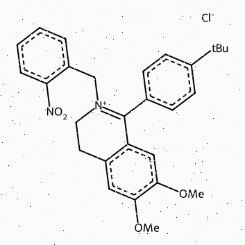 COc1cc2c(cc1OC)C(c1ccc(C(C)(C)C)cc1)=[N+](Cc1ccccc1[N+](=O)[O-])CC2.[Cl-]